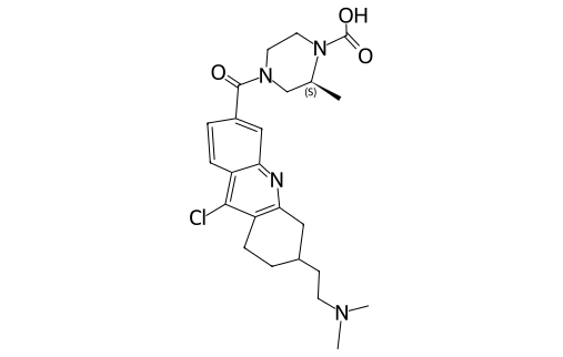 C[C@H]1CN(C(=O)c2ccc3c(Cl)c4c(nc3c2)CC(CCN(C)C)CC4)CCN1C(=O)O